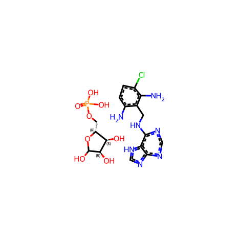 Nc1ccc(Cl)c(N)c1CNc1ncnc2nc[nH]c12.O=P(O)(O)OC[C@H]1OC(O)[C@H](O)[C@@H]1O